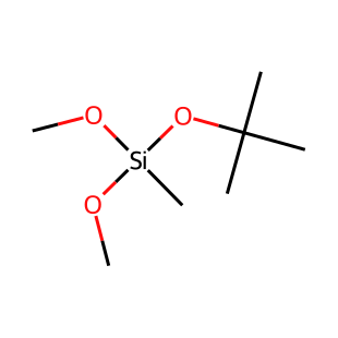 CO[Si](C)(OC)OC(C)(C)C